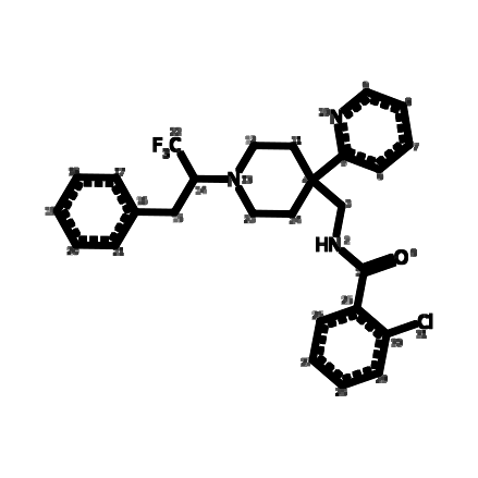 O=C(NCC1(c2ccccn2)CCN(C(Cc2ccccc2)C(F)(F)F)CC1)c1ccccc1Cl